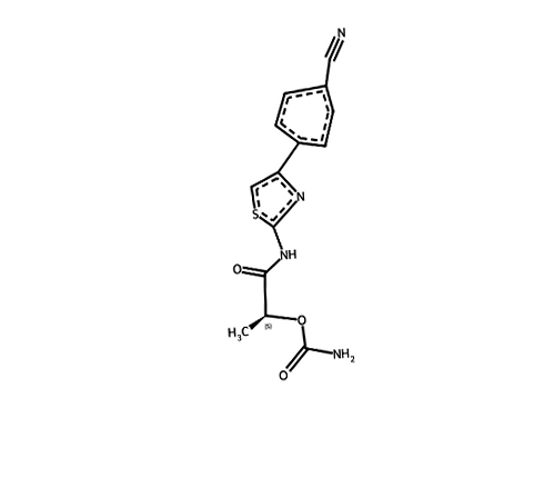 C[C@H](OC(N)=O)C(=O)Nc1nc(-c2ccc(C#N)cc2)cs1